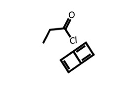 CCC(=O)Cl.c1cc2ccc1-2